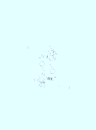 Nc1nc2c(c(=O)[nH]1)N1CN(c3ccc(C(=O)NC(CCC(=O)O)C(=O)O)cc3)CC1CN2.Nc1nc2ncc(CNc3ccc(C(=O)NC(CCC(=O)O)C(=O)O)cc3)nc2c(=O)[nH]1